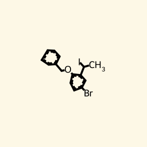 CC(I)c1cc(Br)ccc1OCc1ccccc1